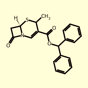 CC1S[C@@H]2CC(=O)N2C=C1C(=O)OC(c1ccccc1)c1ccccc1